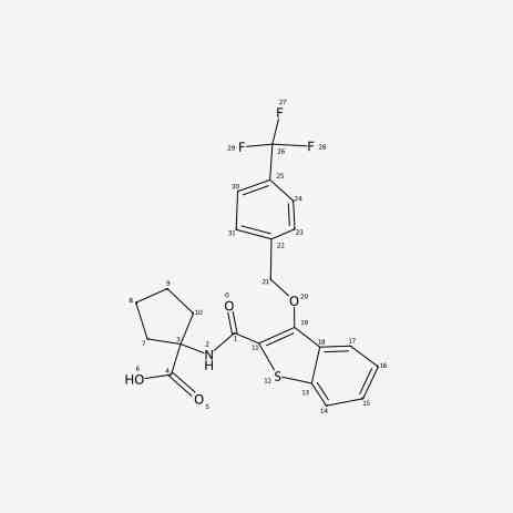 O=C(NC1(C(=O)O)CCCC1)c1sc2ccccc2c1OCc1ccc(C(F)(F)F)cc1